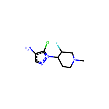 CN1CCC(n2ncc(N)c2Cl)C(F)C1